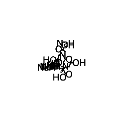 N.N.O=C(O)CN(CCN(CC(=O)O)CC(=O)O)CC(=O)O.[NaH].[NaH].[NaH].[NaH]